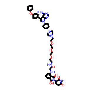 Nc1ncnc2c1c(-c1ccc(Oc3ccccc3)cc1)cn2[C@H]1CC[C@@H](N2CCN(CCOCCOCCOCCNC(=O)CNc3cccc4c3C(=O)N(C3CCC(=O)NC3=O)C4O)CC2)CC1